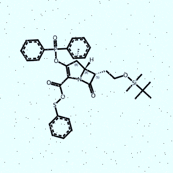 C[C@H]1C(OP(=O)(c2ccccc2)c2ccccc2)=C(C(=O)OSc2ccccc2)N2C(=O)[C@@H](CCO[Si](C)(C)C(C)(C)C)[C@@H]12